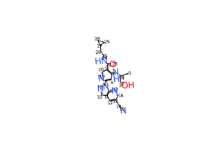 C[C@@H](CO)Nc1cc(-n2ncc3cc(C#N)cnc32)ncc1C(=O)NCCC1CC1